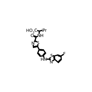 CC(C)C(NC(=O)c1ncc(-c2ccc(Nc3nc4ccc(F)cc4s3)cc2)s1)C(=O)O